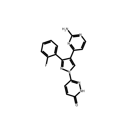 Nc1nccc(-c2cn(-c3ccc(=O)[nH]n3)nc2-c2ccccc2F)n1